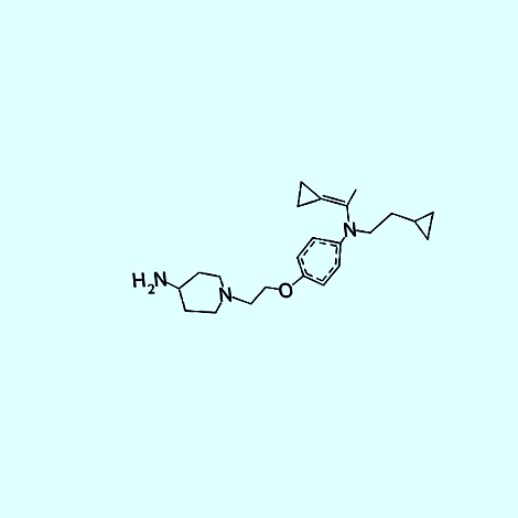 CC(=C1CC1)N(CCC1CC1)c1ccc(OCCN2CCC(N)CC2)cc1